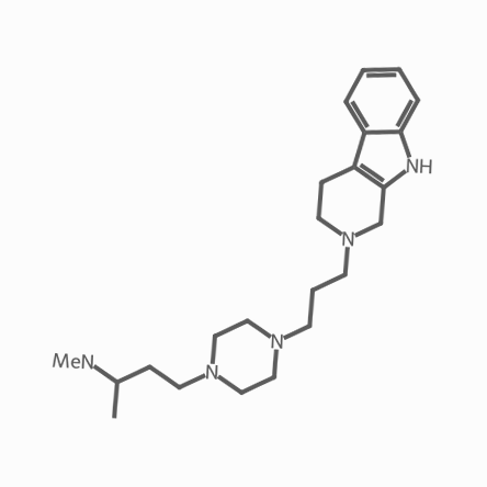 CNC(C)CCN1CCN(CCCN2CCc3c([nH]c4ccccc34)C2)CC1